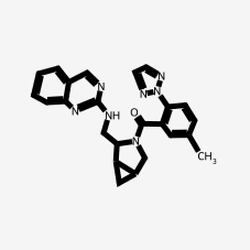 Cc1ccc(-n2nccn2)c(C(=O)N2CC3CC3C2CNc2ncc3ccccc3n2)c1